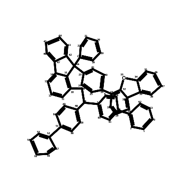 c1ccc(-c2ccc(C(Cc3cccc4c3C(c3ccccc3)(c3ccc(-c5cccc6c5oc5ccccc56)cc3)c3ccccc3-4)c3ccc(-c4ccccc4)cc3)cc2)cc1